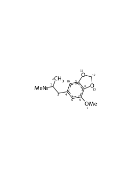 CNC(C)Cc1cc(OC)c2c(c1)OCO2